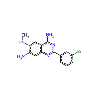 CNc1cc2c(N)nc(-c3cccc(Br)c3)nc2cc1N